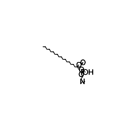 CCCCCCCCCCCCCCCCCC(COP(O)OCCN(C)C)OC=O